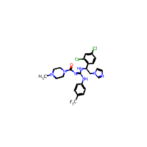 CN1CCN(C(=O)/N=C(/Nc2ccc(C(F)(F)F)cc2)NC(Cn2ccnc2)c2ccc(Cl)cc2Cl)CC1